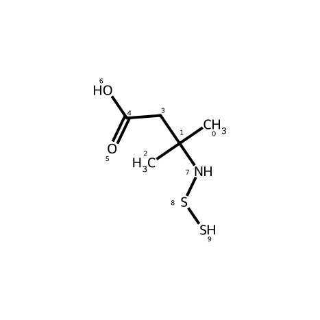 CC(C)(CC(=O)O)NSS